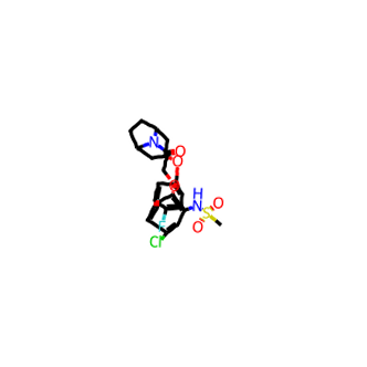 CS(=O)(=O)Nc1cc(Cl)ccc1OCC(=O)N1C2CCC1CC(Oc1ccc(F)cc1)C2